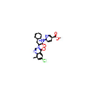 COC(=O)c1ccc(NC(=O)C(CC2CCCCC2)n2cnc3c(C)cc(Cl)cc3c2=O)nc1